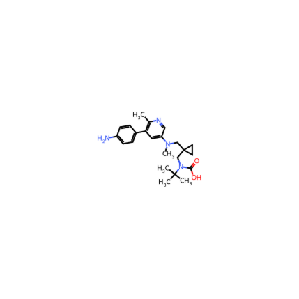 Cc1ncc(N(C)CC2(CN(C(=O)O)C(C)(C)C)CC2)cc1-c1ccc(N)cc1